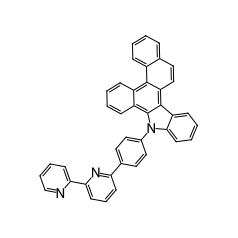 c1ccc(-c2cccc(-c3ccc(-n4c5ccccc5c5c6ccc7ccccc7c6c6ccccc6c54)cc3)n2)nc1